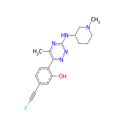 Cc1nc(NC2CCCN(C)C2)nnc1-c1ccc(C#CF)cc1O